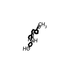 COCc1cccc2c1ccn2-c1ccnc(N[C@H]2CC[C@H](O)CC2)n1